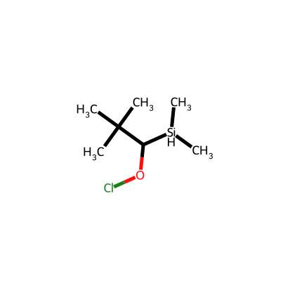 C[SiH](C)C(OCl)C(C)(C)C